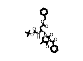 Cc1cn(C[C@H](CC(=O)OCc2ccccc2)NC(=O)OC(C)(C)C)c(=O)n(C(=O)c2ccccc2)c1=O